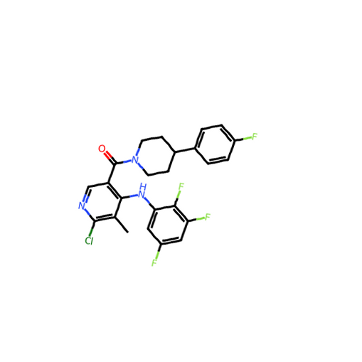 Cc1c(Cl)ncc(C(=O)N2CCC(c3ccc(F)cc3)CC2)c1Nc1cc(F)cc(F)c1F